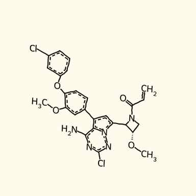 C=CC(=O)N1C[C@H](OC)C1c1cc(-c2ccc(Oc3cccc(Cl)c3)c(OC)c2)c2c(N)nc(Cl)nn12